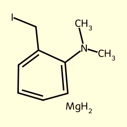 CN(C)c1ccccc1CI.[MgH2]